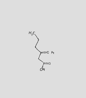 CCCC(=O)CC(=O)O.[Pt]